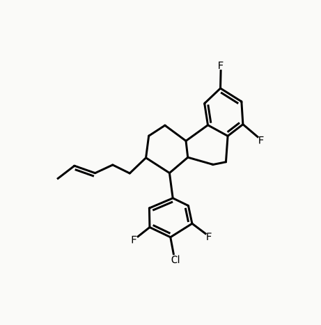 CC=CCCC1CCC2c3cc(F)cc(F)c3CCC2C1c1cc(F)c(Cl)c(F)c1